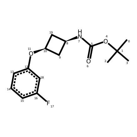 CC(C)(C)OC(=O)N[C@H]1C[C@@H](Oc2cccc(F)c2)C1